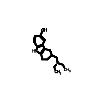 CCN(CC)CC1CCc2[nH]c3ccc(O)cc3c2C1